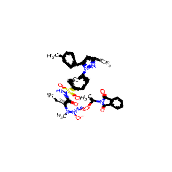 Cc1ccc(-c2cc(C(F)(F)F)nn2-c2ccc(S(=O)(=O)NC(=O)[C@H](CC(C)C)N(C)[N+]([O-])=NOC(C)N3C(=O)c4ccccc4C3=O)cc2)cc1